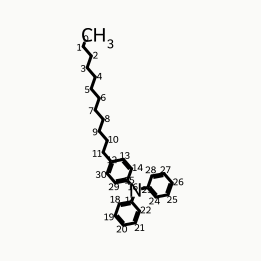 CCCCCCCCCCCCc1ccc(N(c2ccccc2)c2ccccc2)cc1